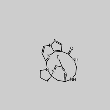 O=C1NCCN/C2=N/C=C(F)\C=N\[C@]3(CCCN3c3ccn4ncc1c4n3)C2